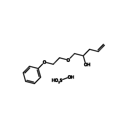 C=CCC(O)COCCOc1ccccc1.O=S(=O)(O)O